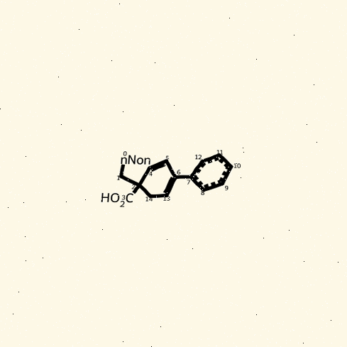 CCCCCCCCCCC1(C(=O)O)C=CC(c2ccccc2)=CC1